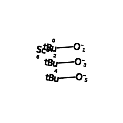 CC(C)(C)[O-].CC(C)(C)[O-].CC(C)(C)[O-].[Sc+3]